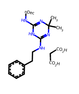 CCCCCCCCCCNC1=NC(C)(C)N=C(NCCc2ccccc2)N1.O=C(O)CC(=O)O